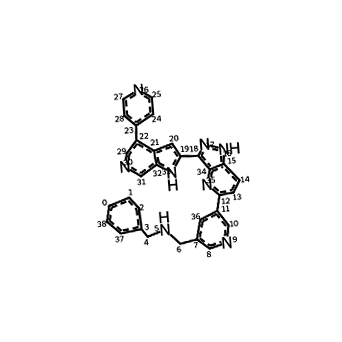 c1ccc(CNCc2cncc(-c3ccc4[nH]nc(-c5cc6c(-c7ccncc7)cncc6[nH]5)c4n3)c2)cc1